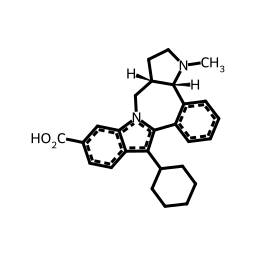 CN1CC[C@H]2Cn3c(c(C4CCCCC4)c4ccc(C(=O)O)cc43)-c3ccccc3[C@H]21